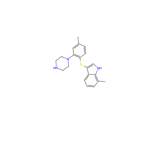 Cc1ccc(Sc2c[nH]c3c(C)cccc23)c(N2CCNCC2)c1